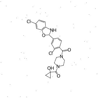 O=C(c1ccc(C2Nc3ccc(Cl)cc3O2)cc1Cl)N1CCN(C(=O)C2(O)CC2)CC1